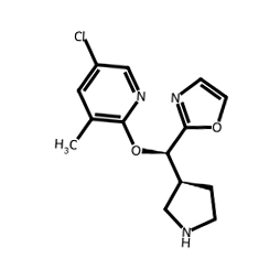 Cc1cc(Cl)cnc1O[C@@H](c1ncco1)[C@H]1CCNC1